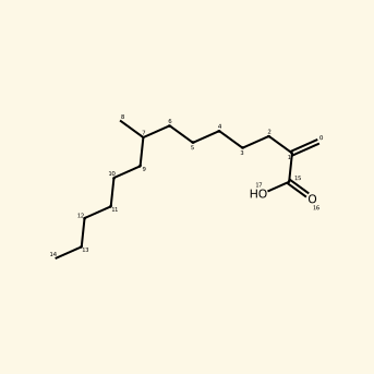 C=C(CCCCCC(C)CCCCCC)C(=O)O